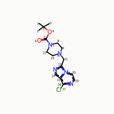 CC(C)(C)OC(=O)N1CCN(Cc2ncc3c(Cl)nccn23)CC1